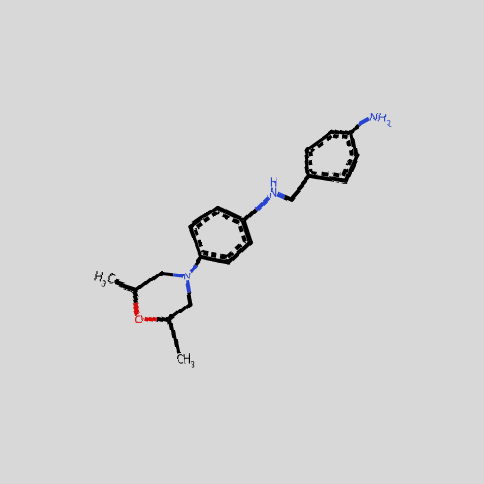 CC1CN(c2ccc(NCc3ccc(N)cc3)cc2)CC(C)O1